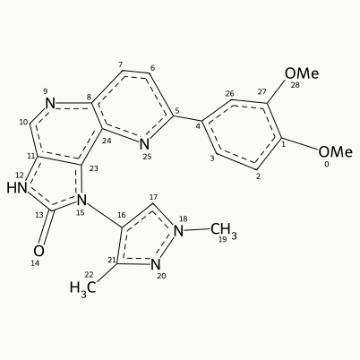 COc1ccc(-c2ccc3ncc4[nH]c(=O)n(-c5cn(C)nc5C)c4c3n2)cc1OC